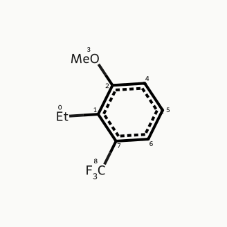 CCc1c(OC)c[c]cc1C(F)(F)F